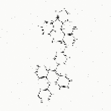 N#Cc1ccc(-c2ccc(-c3c4ccccc4c(-c4ccccc4)c4ccccc34)cc2)c(C#N)c1-n1c2ccccc2c2ccccc21